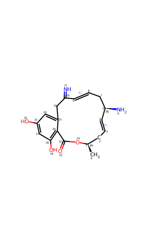 C[C@@H]1C/C=C/[C@H](N)C/C=C/C(=N)Cc2cc(O)cc(O)c2C(=O)O1